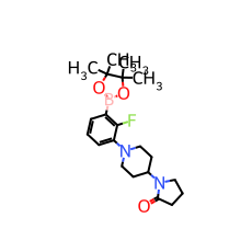 CC1(C)OB(c2cccc(N3CCC(N4CCCC4=O)CC3)c2F)OC1(C)C